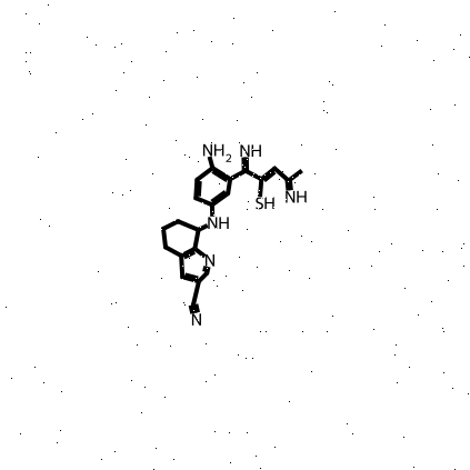 CC(=N)/C=C(\S)C(=N)c1cc(NC2CCCc3cc(C#N)cnc32)ccc1N